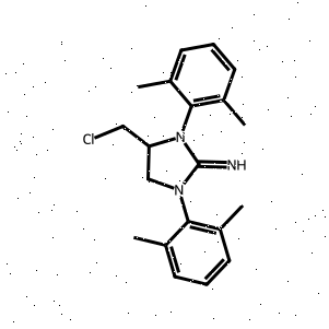 Cc1cccc(C)c1N1CC(CCl)N(c2c(C)cccc2C)C1=N